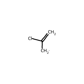 [CH2]C(=C)Cl